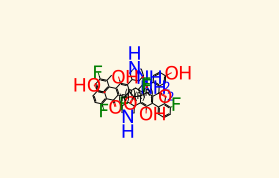 Cc1c(F)cccc1C1=C(C(=O)c2cc(O)ccc2F)[C@H](F)[C@@](CCN)(C(=O)[C@@]2(CCN)C(C3CCCNC3)=C(O)C(c3cccc(F)c3C)=C(C(=O)c3cc(O)ccc3F)[C@@H]2F)C(C2CCCNC2)=C1O